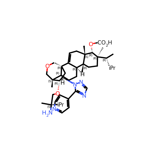 CC(C)[C@@H](C)[C@@]1(C)CC[C@]2(C)[C@H]3CC[C@@H]4[C@@]5(COC[C@@]4(C)[C@@H](OC[C@@](C)(N)C(C)C)[C@H](n4ncnc4-c4ccncc4)C5)C3=CC[C@]2(C)[C@@H]1OC(=O)O